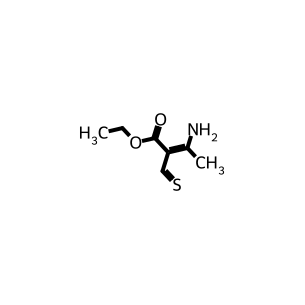 CCOC(=O)C(C=S)=C(C)N